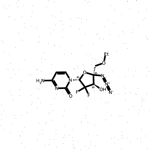 CCOC[C@@]1(N=[N+]=[N-])O[C@@H](n2ccc(N)nc2=O)C(F)(F)[C@@H]1O